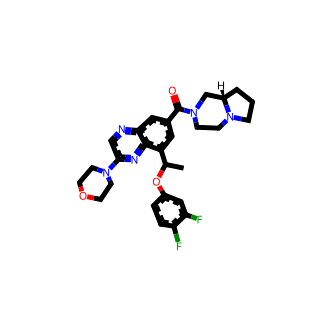 CC(Oc1ccc(F)c(F)c1)c1cc(C(=O)N2CCN3CCC[C@H]3C2)cc2ncc(N3CCOCC3)nc12